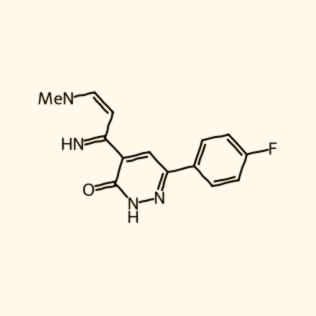 CN/C=C\C(=N)c1cc(-c2ccc(F)cc2)n[nH]c1=O